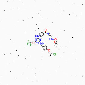 C=C(CCl)COc1ccc(CNc2nc(Nc3ccc(C(=O)N4CC(CNC(=O)OC(C)(C)C)C4)cc3)nc(OCC(F)(F)F)n2)cc1